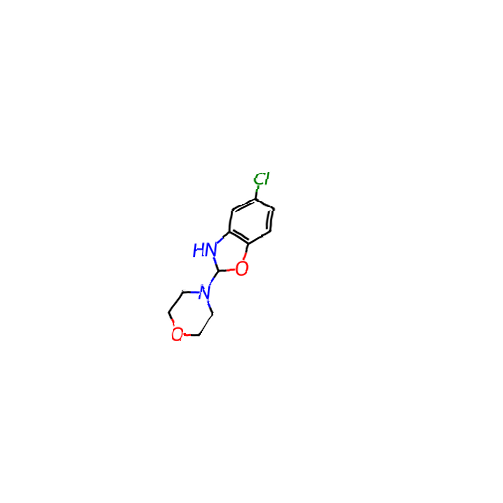 Clc1ccc2c(c1)NC(N1CCOCC1)O2